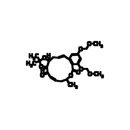 COCOc1cc2c(c(OCOC)c1)C(=O)O[C@@H](C)C/C=C\C(=O)[C@@H]1OC(C)(C)O[C@@H]1C/C=C/2